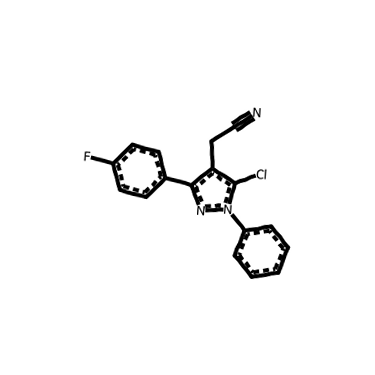 N#CCc1c(-c2ccc(F)cc2)nn(-c2ccccc2)c1Cl